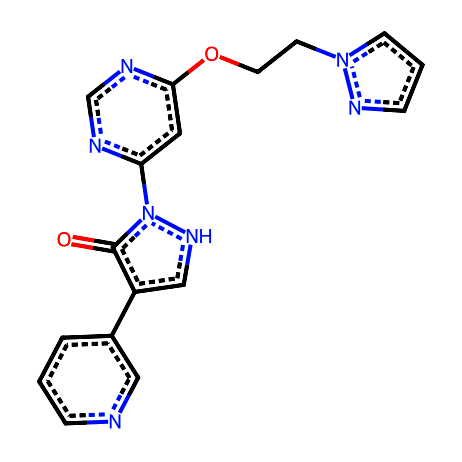 O=c1c(-c2cccnc2)c[nH]n1-c1cc(OCCn2cccn2)ncn1